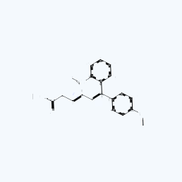 COc1ccc(/C(=C/C=C/CC(=O)O)c2ccccc2OC)cc1